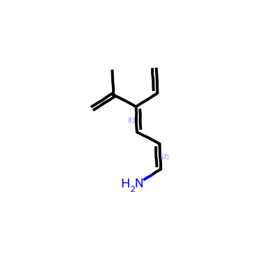 C=C/C(=C\C=C/N)C(=C)C